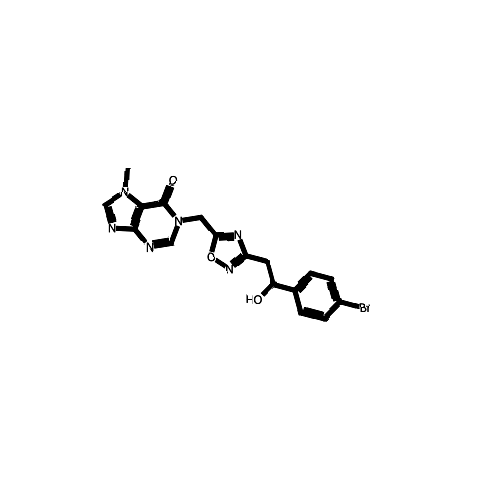 Cn1cnc2ncn(Cc3nc(CC(O)c4ccc(Br)cc4)no3)c(=O)c21